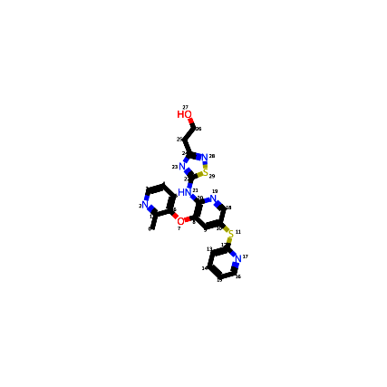 Cc1ncccc1Oc1cc(Sc2ccccn2)cnc1Nc1nc(CCO)ns1